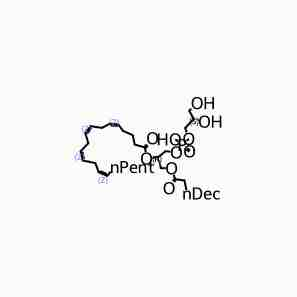 CCCCC/C=C\C/C=C\C/C=C\C/C=C\CCCC(=O)O[C@H](COC(=O)CCCCCCCCCCC)COP(=O)(O)OC[C@@H](O)CO